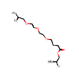 CCCCC(CC)COCCOCCOCCCC(=O)OCC(CC)CCCC